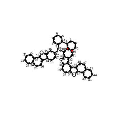 c1ccc(-c2ccccc2N(c2ccc3c(c2)oc2c4ccccc4ccc32)c2cccc3c2sc2ccc4oc5c6ccccc6ccc5c4c23)cc1